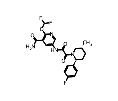 C[C@@H]1CC[C@@H](c2ccc(F)cc2)N(C(=O)C(=O)Nc2cnc(OC(F)F)c(C(N)=O)c2)C1